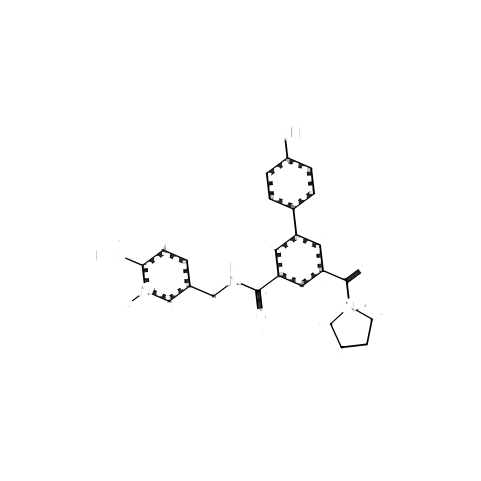 Cc1ccc(-c2cc(C(=O)NCc3ccc(C)[n+](O)c3)cc(C(=O)N3CCCC3)c2)cc1